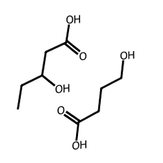 CCC(O)CC(=O)O.O=C(O)CCCO